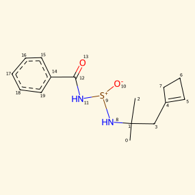 CC(C)(CC1=CCC1)N[S+]([O-])NC(=O)c1ccccc1